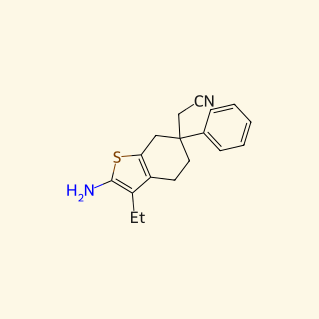 CCc1c(N)sc2c1CCC(CC#N)(c1ccccc1)C2